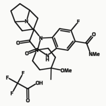 CNC(=O)c1cc2[nH]c(=O)n(C3CC4CCC(C3)N4CC(=O)N3CCC(C)(OC)CC3)c2cc1F.O=C(O)C(F)(F)F